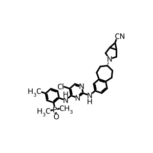 Cc1ccc(Nc2nc(Nc3ccc4c(c3)CC[C@H](N3CC5C(C#N)C5C3)CC4)ncc2Cl)c(P(C)(C)=O)c1